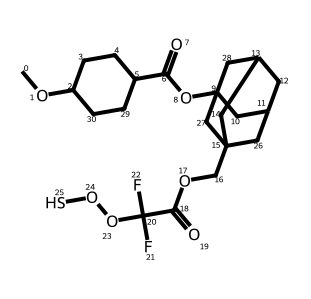 COC1CCC(C(=O)OC23CC4CC(CC(COC(=O)C(F)(F)OOS)(C4)C2)C3)CC1